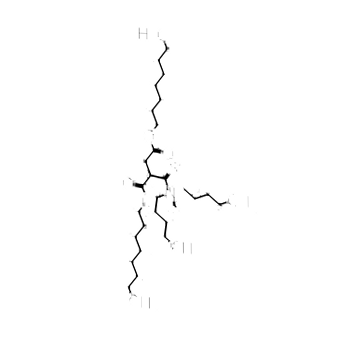 CCCCCCCCOC(=O)CC(C(=O)OCCCCCCCC)C(=S)[N+](S)(CCCCC)CCCCC